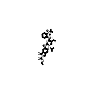 CCOC(=O)N1Cc2cc(OC(C)C)c(Nc3ncc(CI)c(Nc4ccccc4S(=O)(=O)C(C)C)n3)cc2C1=O